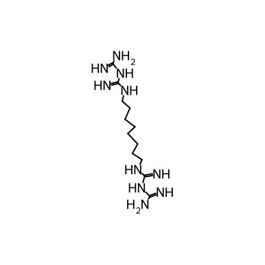 N=C(N)NC(=N)NCCCCCCCCNC(=N)NC(=N)N